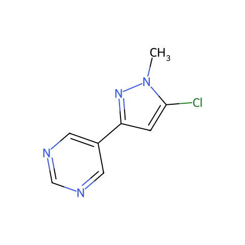 Cn1nc(-c2cncnc2)cc1Cl